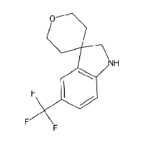 FC(F)(F)c1ccc2c(c1)C1(CCOCC1)CN2